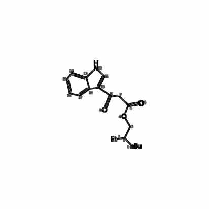 CCCCC(CC)COC(=O)CC(=O)c1c[nH]c2ccccc12